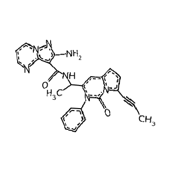 CC#Cc1ccc2cc(C(C)NC(=O)c3c(N)nn4cccnc34)n(-c3ccccc3)c(=O)n12